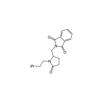 CC(C)CCN1C(=O)CCC1CN1C(=O)c2ccccc2C1=O